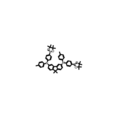 Cc1ccc(N(c2ccc(B3OC(C)(C)C(C)(C)O3)cc2)c2ccc3c(c2)-c2cc(N(c4ccc(C)cc4)c4ccc(B5OC(C)(C)C(C)(C)O5)cc4)ccc2C3(C)C)cc1